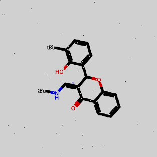 CC(C)(C)N/C=C1\C(=O)c2ccccc2OC1c1cccc(C(C)(C)C)c1O